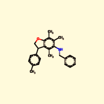 Cc1ccc(C2COc3c(C)c(C)c(NCc4ccccc4)c(C)c32)cc1